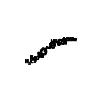 COc1cc(CC(=O)NC2CCC(CCN3CCc4nc(OCC(C)(F)F)sc4CC3)OC2)on1